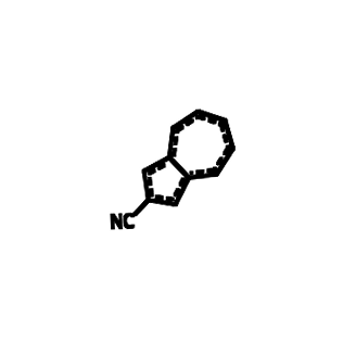 N#Cc1cc2cccccc-2c1